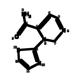 NC(=O)C1=CC=NCN1c1nccs1